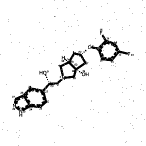 O[C@H](CN1C[C@H]2C[C@H](Oc3ccc(F)cc3F)C[C@@]2(O)C1)c1ccc2[nH]ncc2c1